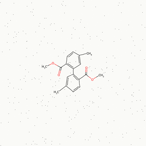 COC(=O)c1ccc(C)cc1-c1cc(C)ccc1C(=O)OC